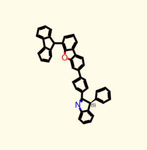 c1ccc([C@@H]2C(c3ccc(-c4ccc5c(c4)oc4c(C6c7ccccc7-c7ccccc76)cccc45)cc3)=Nc3ccccc32)cc1